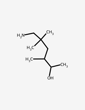 CC(O)C(C)CC(C)(C)CN